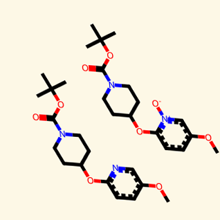 COc1ccc(OC2CCN(C(=O)OC(C)(C)C)CC2)[n+]([O-])c1.COc1ccc(OC2CCN(C(=O)OC(C)(C)C)CC2)nc1